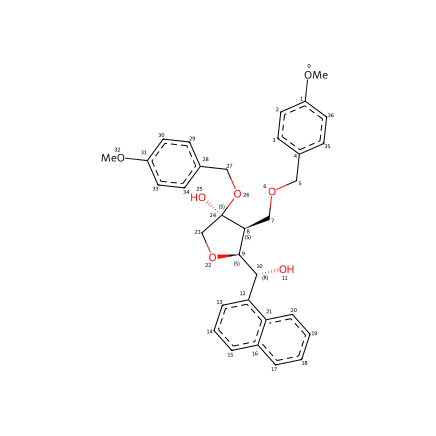 COc1ccc(COC[C@H]2[C@@H]([C@H](O)c3cccc4ccccc34)OC[C@@]2(O)OCc2ccc(OC)cc2)cc1